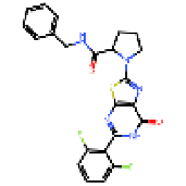 O=C(NCc1ccccc1)C1CCCN1c1nc2c(=O)[nH]c(-c3c(F)cccc3F)nc2s1